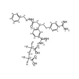 N=C(N)c1ccc(CCC(CC(=O)NCCc2ccccc2)c2cccc(C(=N)N)c2)cc1.O=C(O)C(F)(F)F.O=C(O)C(F)(F)F